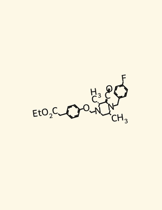 CCOC(=O)Cc1ccc(OCN2C[C@H](C)N(Cc3ccc(F)cc3)C(=C=O)[C@H]2C)cc1